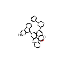 C1=CCC2OC3=C(C=CC(N4C5=C(C=CNC5)C5C=CC=CC54)C3)C3(C2=C1)C1=C(CCC=C1)Oc1cc(C2=CCCC(c4ccccc4)C2)ccc13